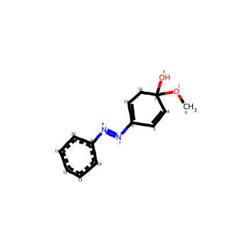 COC1(O)C=CC(N=Nc2ccccc2)=CC1